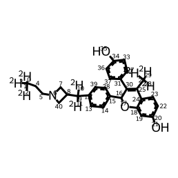 [2H]C([2H])([2H])CCN1CC(C([2H])([2H])c2ccc(C3Oc4cc(O)ccc4C(C([2H])([2H])[2H])=C3c3ccc(O)cc3)cc2)C1